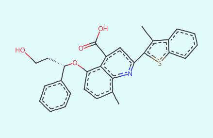 Cc1c(-c2cc(C(=O)O)c3c(O[C@@H](CCO)c4ccccc4)ccc(C)c3n2)sc2ccccc12